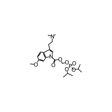 COc1ccc2c(CCN(C)C)cn(C(=O)OCOP(=O)(OC(C)C)OC(C)C)c2c1